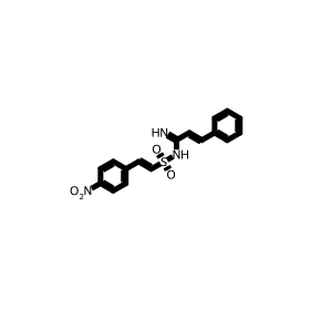 N=C(C=Cc1ccccc1)NS(=O)(=O)C=Cc1ccc([N+](=O)[O-])cc1